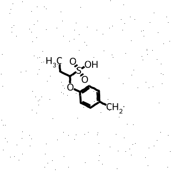 [CH2]c1ccc(OC(CC)S(=O)(=O)O)cc1